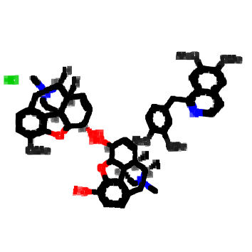 CN1CC[C@]23c4c5ccc(O)c4OC2[C@@H](O)C=C[C@H]3[C@H]1C5.COc1ccc(Cc2nccc3cc(OC)c(OC)cc23)cc1OC.COc1ccc2c3c1OC1[C@@H](O)C=C[C@H]4[C@@H](C2)N(C)CC[C@]314.Cl